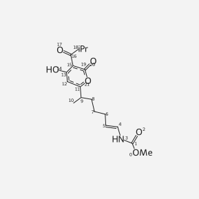 COC(=O)N/C=C/CCCC(C)c1cc(O)c(C(=O)C(C)C)c(=O)o1